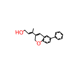 CC(=CCO)C1=Cc2cc(-c3ccccc3)ccc2OC1